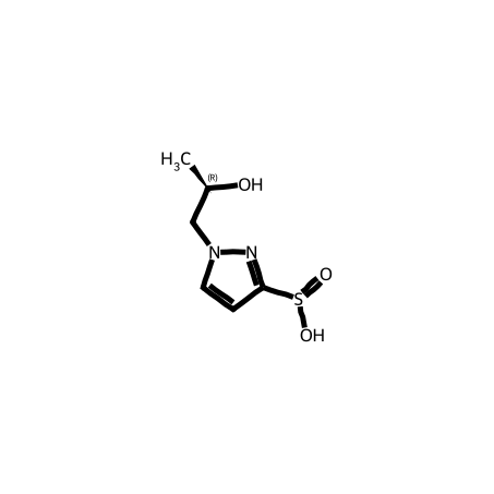 C[C@@H](O)Cn1ccc(S(=O)O)n1